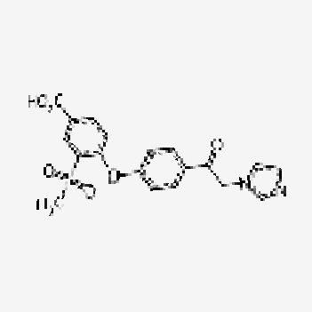 CS(=O)(=O)c1cc(C(=O)O)ccc1Oc1ccc(C(=O)Cn2ccnc2)cc1